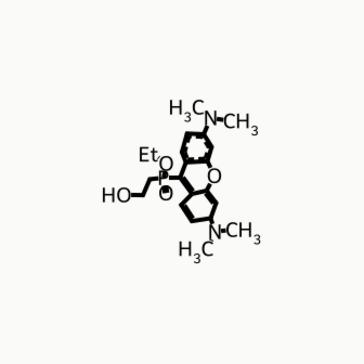 CCOP(=O)(CCO)C1=C2C=CC(N(C)C)C=C2Oc2cc(N(C)C)ccc21